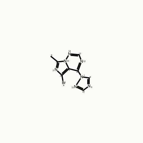 Cc1nc(Br)c2c(-n3cncn3)ncnn12